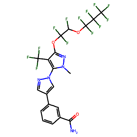 Cn1nc(OC(F)(F)C(F)OC(F)(F)C(F)(F)C(F)(F)F)c(C(F)(F)F)c1-n1cc(-c2cccc(C(N)=O)c2)cn1